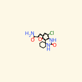 NC(=O)c1cc2cc(Cl)c3c(c2o1)C1(CCCCC1)NC(=O)N3